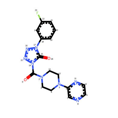 O=C(N1CCN(c2cnccn2)CC1)n1nnn(-c2cccc(F)c2)c1=O